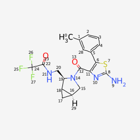 Cc1cccc(-c2sc(N)nc2C(=O)N2C[C@H]3CC3[C@H]2CNC(=O)C(F)(F)F)c1